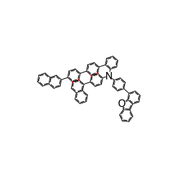 c1ccc(N(c2ccc(-c3cccc4ccccc34)cc2)c2ccc(-c3cccc4c3oc3ccccc34)cc2)c(-c2ccc(-c3ccc(-c4ccc5ccccc5c4)cc3)cc2)c1